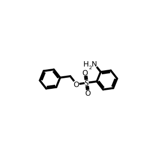 Nc1ccccc1S(=O)(=O)OCc1ccccc1